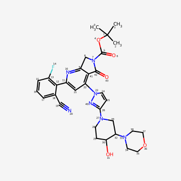 CC(C)(C)OC(=O)N1Cc2nc(-c3c(F)cccc3C#N)cc(-n3ccc(N4CCC(O)C(N5CCOCC5)C4)n3)c2C1=O